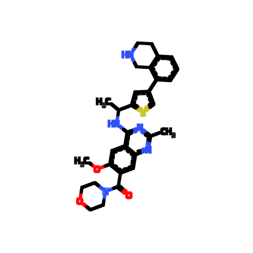 COc1cc2c(NC(C)c3cc(-c4cccc5c4CNCC5)cs3)nc(C)nc2cc1C(=O)N1CCOCC1